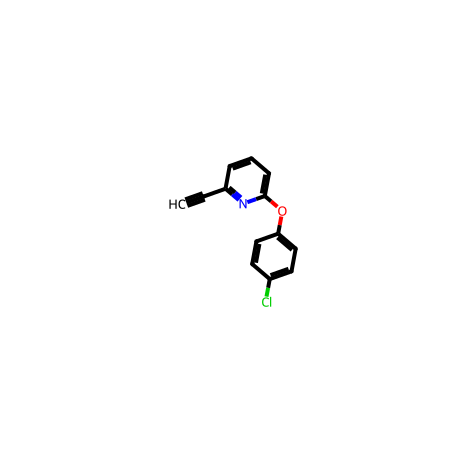 C#Cc1cccc(Oc2ccc(Cl)cc2)n1